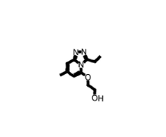 CCc1nnc2cc(C)cc(OCCO)n12